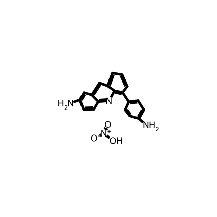 Nc1ccc(-c2cccc3cc4cc(N)ccc4nc23)cc1.O=[N+]([O-])O